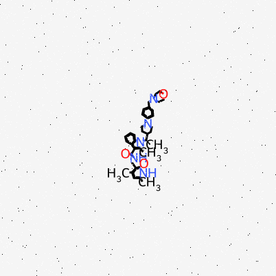 Cc1cc(C)c(CNC(=O)c2c(C)n([C@H](C)C3CCN(c4ccc(CN5CCOCC5)cc4)CC3)c3ccccc23)c(=O)[nH]1